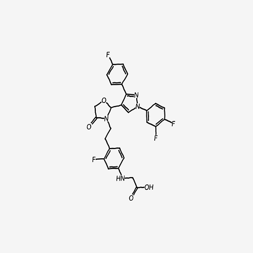 O=C(O)CNc1ccc(CCN2C(=O)COC2c2cn(-c3ccc(F)c(F)c3)nc2-c2ccc(F)cc2)c(F)c1